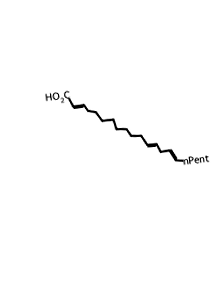 CCCCCC=CCC=CCCCCCCCCC=CC(=O)O